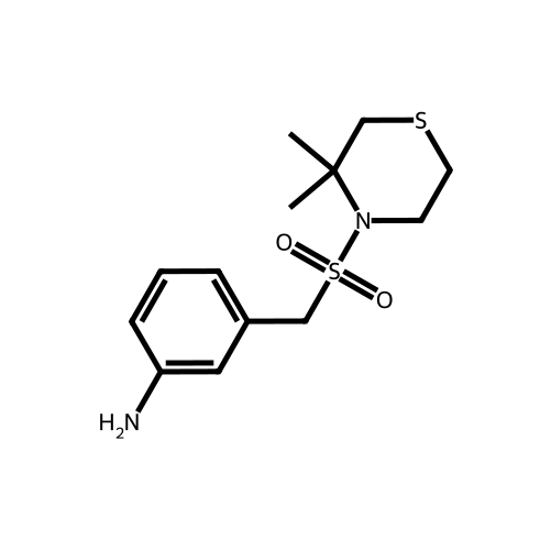 CC1(C)CSCCN1S(=O)(=O)Cc1cccc(N)c1